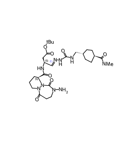 CNC(=O)[C@H]1CC[C@H](CNC(=O)N/N=C/[C@H](CC(=O)OC(C)(C)C)NC(=O)[C@@H]2CCCN3C(=O)CCN(N)C(=O)N23)CC1